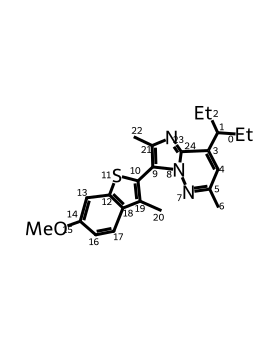 CCC(CC)c1cc(C)nn2c(-c3sc4cc(OC)ccc4c3C)c(C)nc12